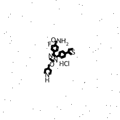 Cl.NC(=O)c1ccc(-c2ncc(OCC3CCNCC3)nc2-c2ccc(-c3ccsc3)cc2)cc1F